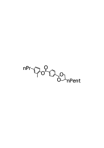 CCCCCC1COC(c2ccc(C(=O)Oc3ccc(CCC)cc3C)cc2)OC1